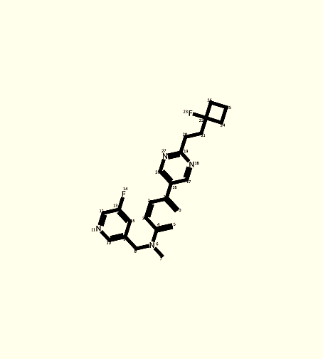 C=C(/C=C\C(=C)N(C)Cc1cncc(F)c1)c1cnc(CCC2(F)CCC2)nc1